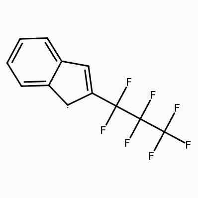 FC(F)(F)C(F)(F)C(F)(F)C1=Cc2ccccc2[CH]1